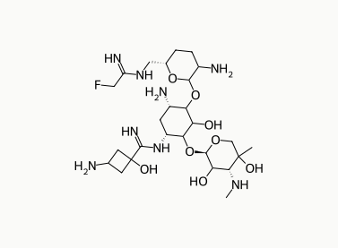 CN[C@@H]1C(O)[C@@H](OC2C(O)C(OC3O[C@H](CNC(=N)CF)CCC3N)[C@@H](N)C[C@H]2NC(=N)C2(O)CC(N)C2)OCC1(C)O